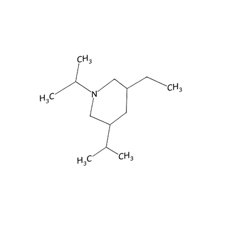 CCC1CC(C(C)C)CN(C(C)C)C1